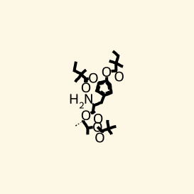 CCC(C)(C)C(=O)Oc1ccc(C[C@H](N)C(=O)O[C@@H](C)C(C)OC(=O)C(C)(C)C)cc1OC(=O)C(C)(C)CC